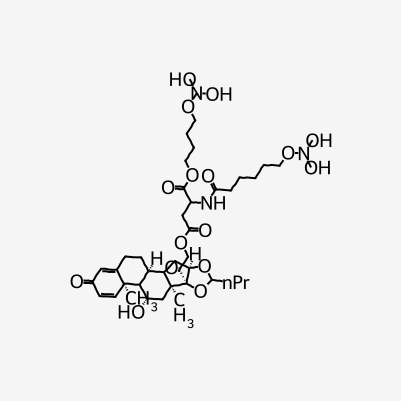 CCCC1O[C@@H]2CC3[C@@H]4CCC5=CC(=O)C=C[C@]5(C)C4[C@@H](O)C[C@]3(C)[C@]2(C(=O)COC(=O)CC(NC(=O)CCCCCON(O)O)C(=O)OCCCCON(O)O)O1